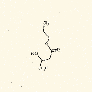 O=C(CC(O)C(=O)O)OCCO